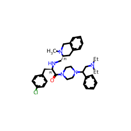 CCN(CC)CC(c1ccccc1)N1CCN(C(=O)[C@@H](Cc2ccc(Cl)cc2)NC[C@H]2Cc3ccccc3CN2C)CC1